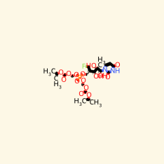 CC(C)OC(=O)OCOP(=O)(OCOC(=O)OC(C)C)OC[C@H](CF)[C@@H](O)[C@@](C)(O)[C@@H](O)n1ccc(=O)[nH]c1=O